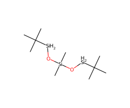 CC(C)(C)[SiH2]O[Si](C)(C)O[SiH2]C(C)(C)C